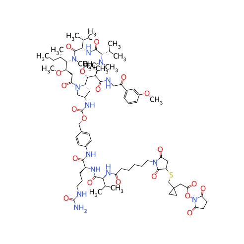 CC[C@H](C)[C@@H]([C@@H](CC(=O)N1C[C@@H](NC(=O)OCc2ccc(NC(=O)[C@H](CCCNC(N)=O)NC(=O)[C@@H](NC(=O)CCCCCN3C(=O)CC(SCC4(CC(=O)ON5C(=O)CCC5=O)CC4)C3=O)C(C)C)cc2)C[C@H]1[C@H](OC)[C@@H](C)C(=O)NCC(=O)c1cccc(OC)c1)OC)N(C)C(=O)[C@@H](NC(=O)[C@H](C(C)C)N(C)C)C(C)C